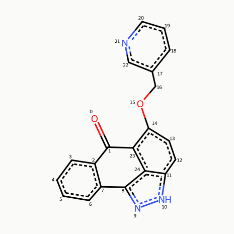 O=C1c2ccccc2-c2n[nH]c3ccc(OCc4cccnc4)c1c23